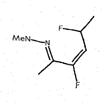 CN/N=C(C)/C(F)=C\C(C)F